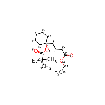 CCC(C)(C)C(=O)OC1(CCCC(=O)OCC(F)(F)F)CCCCC1